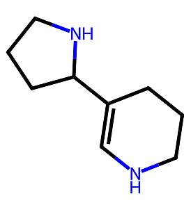 C1=C(C2CCCN2)CCCN1